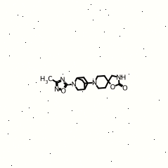 Cc1noc(N2CC3CCC2CC3N2CCC3(CC2)CNC(=O)O3)n1